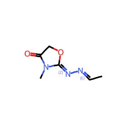 C/C=N/N=C1\OCC(=O)N1C